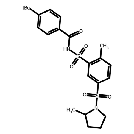 Cc1ccc(S(=O)(=O)N2CCCC2C)cc1S(=O)(=O)NC(=O)c1ccc(C(C)(C)C)cc1